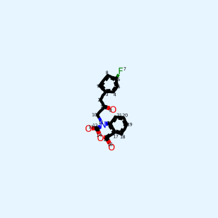 O=C(Cc1ccc(F)cc1)Cn1c(=O)oc(=O)c2ccccc21